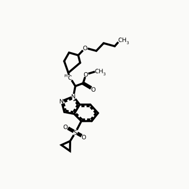 CCCCOC1CC[C@H](CC(C(=O)OC)n2ncc3c(S(=O)(=O)C4CC4)cccc32)C1